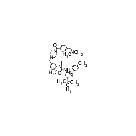 Cc1ccc(-n2nc(C(C)(C)C)cc2NC(=O)Nc2cc(CN3CCN(C(=O)c4ccc(CN(C)C)cc4)CC3)ccc2C)cc1